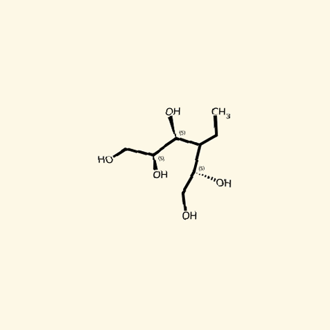 CCC([C@H](O)CO)[C@H](O)[C@@H](O)CO